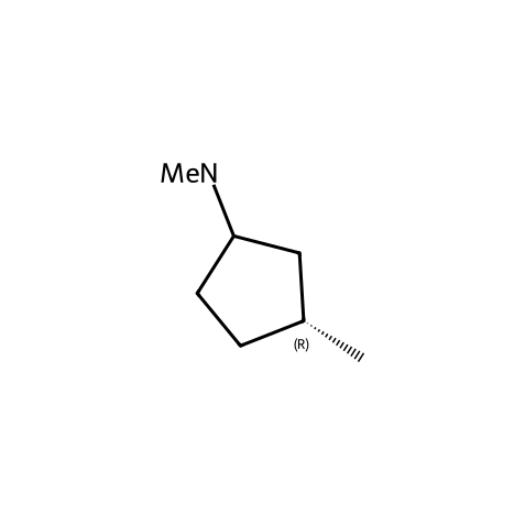 CNC1CC[C@@H](C)C1